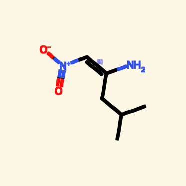 CC(C)C/C(N)=C\[N+](=O)[O-]